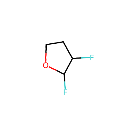 FC1CCOC1F